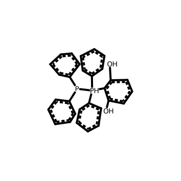 Oc1cccc(O)c1[PH](c1ccccc1)(c1ccccc1)P(c1ccccc1)c1ccccc1